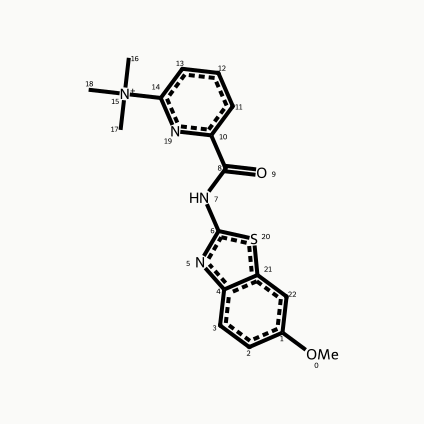 COc1ccc2nc(NC(=O)c3cccc([N+](C)(C)C)n3)sc2c1